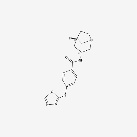 O=C(N[C@@H]1C[C@@H]2CCN(C2)C1)c1ccc(Sc2nnco2)cc1